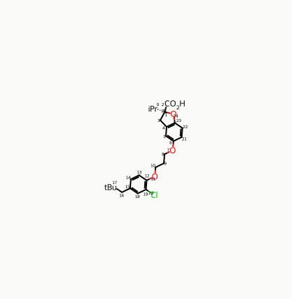 CC(C)[C@@]1(C(=O)O)Cc2cc(OCCCOc3ccc(CC(C)(C)C)cc3Cl)ccc2O1